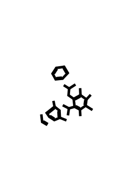 C=CC.Cc1c(C)c(C)c(C(C)C)c(CC(C)C)c1C.Cc1cccc(C)c1.c1ccccc1